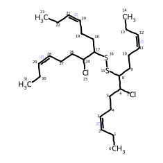 CC/C=C\CCC(Cl)C(CC/C=C\CC)SSC(CC/C=C\CC)C(Cl)CC/C=C\CC